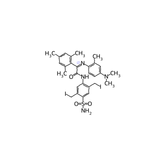 Cc1cc(C)c(/C(=N/c2ccc(N(C)C)cc2C)C(=O)Nc2cc(CI)c(S(N)(=O)=O)cc2CI)c(C)c1